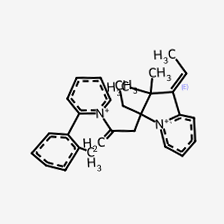 C=C(CC1(CC)[n+]2ccccc2/C(=C/C)C1(C)C)[n+]1ccccc1-c1ccccc1C